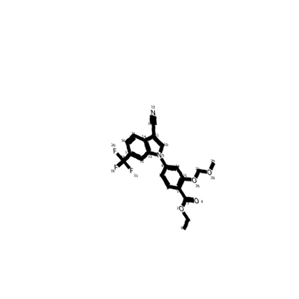 CCOC(=O)c1ccc(-n2cc(C#N)c3ccc(C(F)(F)F)cc32)cc1OCOC